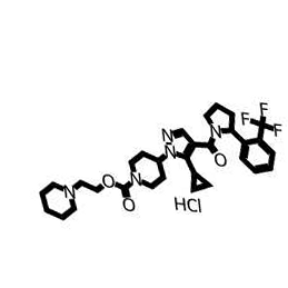 Cl.O=C(OCCN1CCCCC1)N1CCC(n2ncc(C(=O)N3CCCC3c3ccccc3C(F)(F)F)c2C2CC2)CC1